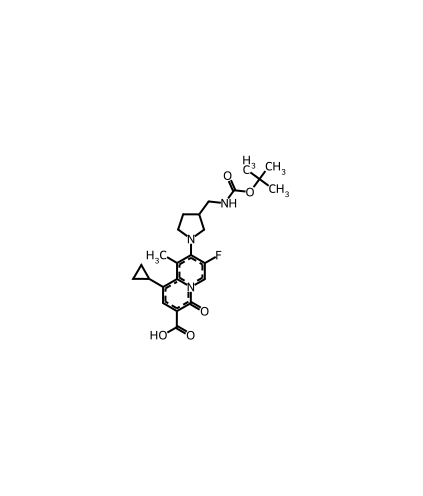 Cc1c(N2CCC(CNC(=O)OC(C)(C)C)C2)c(F)cn2c(=O)c(C(=O)O)cc(C3CC3)c12